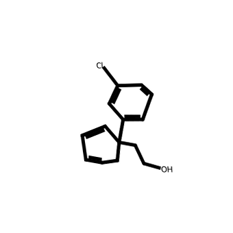 OCCC1(c2cccc(Cl)c2)C=CC=CC1